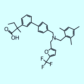 CCC(C)(C(=O)O)c1cccc(-c2ccc(CN(Cc3ccc(C(F)(F)F)o3)Cc3c(C)cc(C)cc3C)cc2)c1